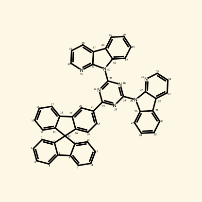 c1ccc2c(c1)-c1ccccc1C21c2ccccc2-c2cc(-c3nc(-n4c5ccccc5c5cccnc54)nc(-n4c5ccccc5c5cccnc54)n3)ccc21